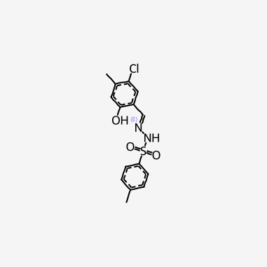 Cc1ccc(S(=O)(=O)N/N=C/c2cc(Cl)c(C)cc2O)cc1